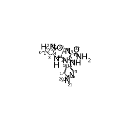 CC(C)CC(Nc1cnc(C(N)=O)c(Nc2ccc(N(C)C)nc2)n1)C(N)=O